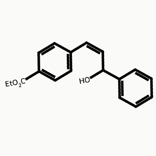 CCOC(=O)c1ccc(/C=C\C(O)c2ccccc2)cc1